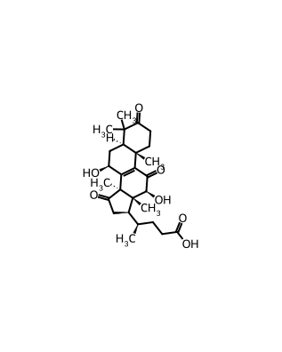 C[C@H](CCC(=O)O)[C@H]1CC(=O)[C@@]2(C)C3=C(C(=O)[C@@H](O)[C@]12C)[C@@]1(C)CCC(=O)C(C)(C)[C@@H]1C[C@@H]3O